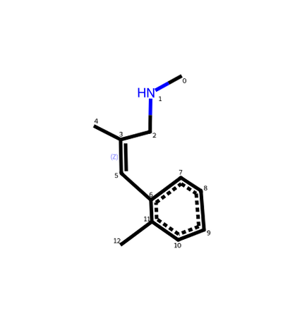 CNC/C(C)=C\c1ccccc1C